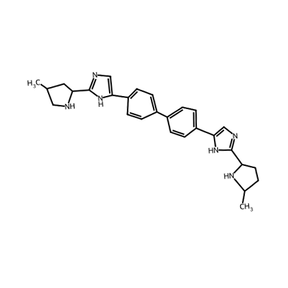 CC1CNC(c2ncc(-c3ccc(-c4ccc(-c5cnc(C6CCC(C)N6)[nH]5)cc4)cc3)[nH]2)C1